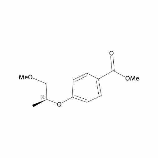 COC[C@H](C)Oc1ccc(C(=O)OC)cc1